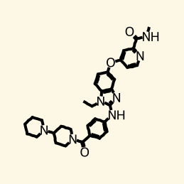 CCn1c(Nc2ccc(C(=O)N3CCC(N4CCCCC4)CC3)cc2)nc2cc(Oc3ccnc(C(=O)NC)c3)ccc21